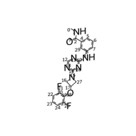 CNC(=O)c1cccc(Nc2ncnc(N3CC(Oc4c(F)cccc4F)C3)n2)c1